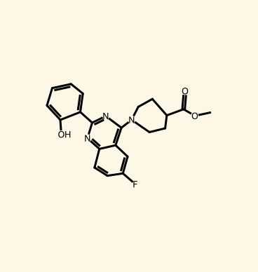 COC(=O)C1CCN(c2nc(-c3ccccc3O)nc3ccc(F)cc23)CC1